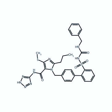 CCCc1nc(SC)c(C(=O)Nc2nn[nH]n2)n1Cc1ccc(-c2ccccc2S(=O)(=O)NC(=O)NCc2ccccc2)cc1